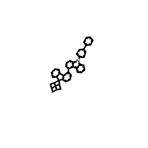 c1ccc(-c2ccc(-n3c4ccccc4c4c(-c5cccc6c5-c5ccccc5C65C6CC7CC8CC5C786)cccc43)cc2)cc1